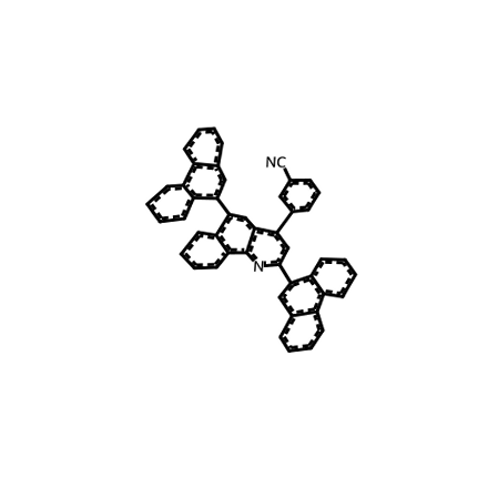 N#Cc1cccc(-c2cc(-c3cc4ccccc4c4ccccc34)nc3c2cc(-c2cc4ccccc4c4ccccc24)c2ccccc23)c1